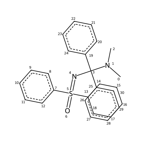 CN(C)C(N=S(=O)(c1ccccc1)C1CCCCC1)(c1ccccc1)c1ccccc1